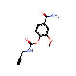 C#CCNC(=O)Oc1ccc(C(N)=O)cc1OC